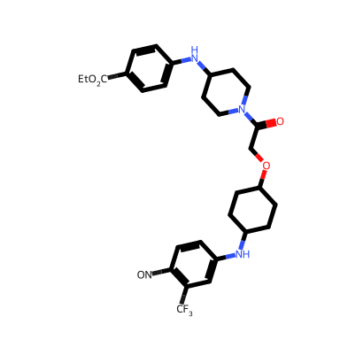 CCOC(=O)c1ccc(NC2CCN(C(=O)COC3CCC(Nc4ccc(N=O)c(C(F)(F)F)c4)CC3)CC2)cc1